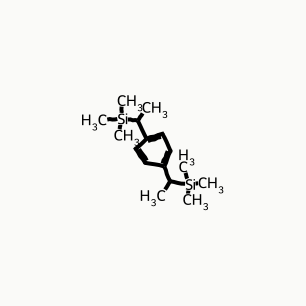 CC(c1ccc(C(C)[Si](C)(C)C)cc1)[Si](C)(C)C